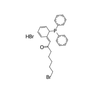 Br.O=C(C=C1C=CC=CC1P(c1ccccc1)c1ccccc1)CCCCCBr